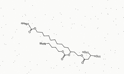 CCCCCCCCC(CCCCCCCC)CC(=O)OCCC(CCCCCCCCCCOC(=O)CCCCCCC)OC(=O)OCCCCNC